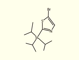 CC(C)[Si](c1ncc(Br)s1)(C(C)C)C(C)C